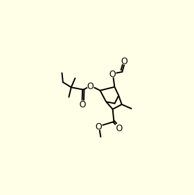 CCC(C)(C)C(=O)OC1C2CC(C(C)C2C(=O)OC)C1OC=O